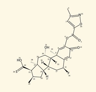 Cc1cc(C(=O)OC2=C[C@@]3(C)C(=CC2=O)[C@@H](F)C[C@@H]2[C@@H]4C[C@@H](C)[C@@H](C(O)=S)[C@@]4(C)C[C@H](O)[C@@]23F)on1